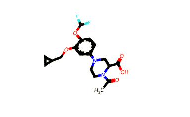 CC(=O)N1CCN(c2ccc(OC(F)F)c(OCC3CC3)c2)CC1C(=O)O